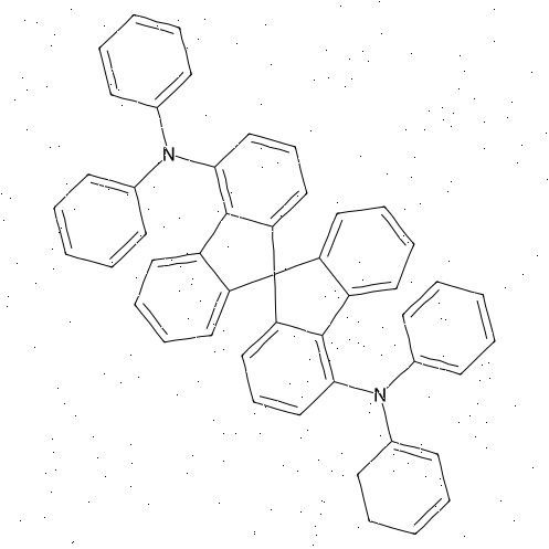 C1=CCCC(N(c2ccccc2)c2cccc3c2-c2ccccc2C32c3ccccc3-c3c(N(c4ccccc4)c4ccccc4)cccc32)=C1